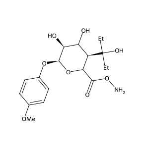 CCC(O)(CC)[C@H]1C(C(=O)ON)O[C@@H](Oc2ccc(OC)cc2)[C@@H](O)C1O